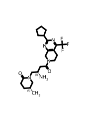 C[C@@H]1CCC(=O)N(C[C@@H](N)CC(=O)N2CCc3c(nc(C4CCCC4)nc3C(F)(F)F)C2)C1